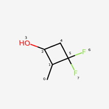 CC1C(O)CC1(F)F